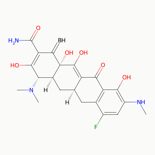 B=C1C(C(N)=O)=C(O)[C@@H](N(C)C)[C@@H]2C[C@@H]3Cc4c(F)cc(NC)c(O)c4C(=O)C3=C(O)[C@]12O